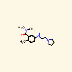 CON(C)C(=O)c1cc(NCCN2CCCC2)ccc1C